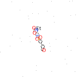 CCN1CC2(CCN(S(=O)(=O)c3ccc(-c4ccc5occc5c4)cc3)CC2)OCC1=O